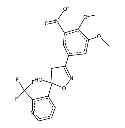 COc1cc(C2=NOC(O)(c3cccnc3C(F)(F)F)C2)cc([N+](=O)[O-])c1OC